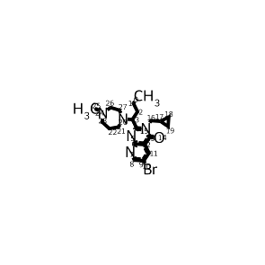 CCCC(c1nc2ncc(Br)cc2c(=O)n1CC1CC1)N1CCCN(C)CC1